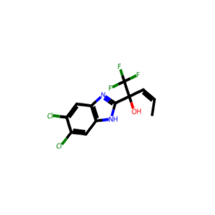 C/C=C\C(O)(c1nc2cc(Cl)c(Cl)cc2[nH]1)C(F)(F)F